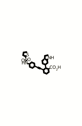 O=C(O)c1cccc(C#Cc2ccc(NS(=O)(=O)c3cccs3)cc2)c1-c1ccc2cc[nH]c2c1